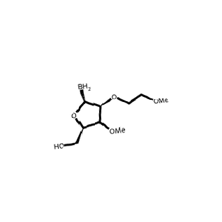 B[C@@H]1O[C@H](CO)C(OC)[C@@H]1OCCOC